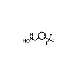 ONCc1cccc(C(F)(F)F)c1